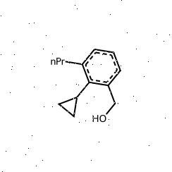 CCCc1cccc([CH]O)c1C1CC1